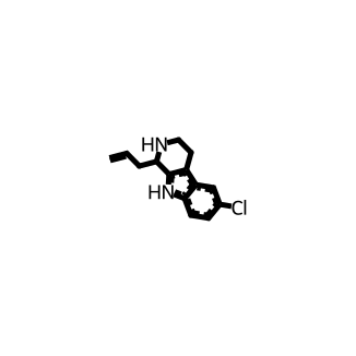 C=CCC1NCCc2c1[nH]c1ccc(Cl)cc21